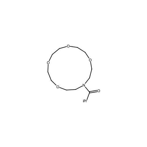 CC(C)C(=O)N1CCOCCOCCOCCOCC1